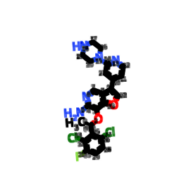 C[C@@H](Oc1c(N)ncc2c(-c3ccnc(N4CCNCC4)c3)coc12)c1c(Cl)ccc(F)c1Cl